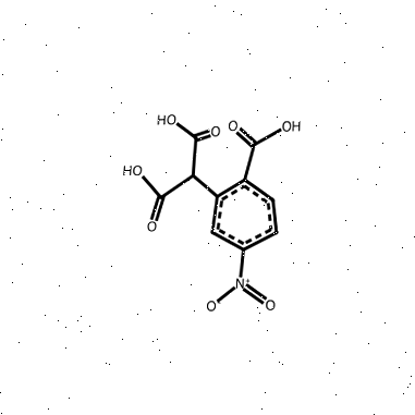 O=C(O)c1ccc([N+](=O)[O-])cc1C(C(=O)O)C(=O)O